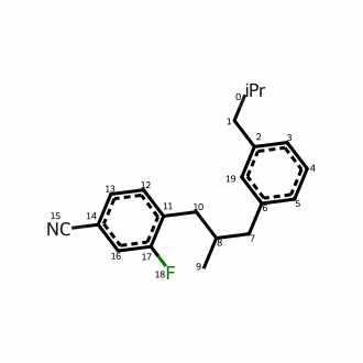 CC(C)Cc1cccc(CC(C)Cc2ccc(C#N)cc2F)c1